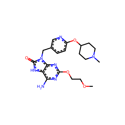 COCCOc1nc(N)c2[nH]c(=O)n(Cc3ccc(OC4CCN(C)CC4)nc3)c2n1